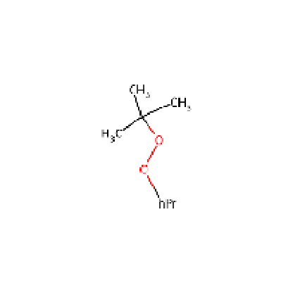 CCCOOC(C)(C)C